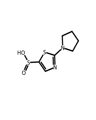 O=S(O)c1cnc(N2CCCC2)s1